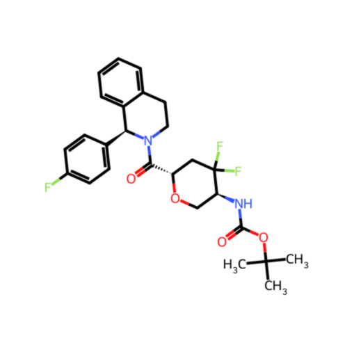 CC(C)(C)OC(=O)N[C@H]1CO[C@H](C(=O)N2CCc3ccccc3[C@@H]2c2ccc(F)cc2)CC1(F)F